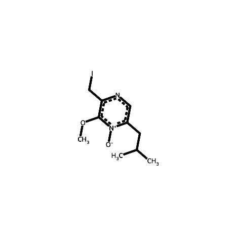 COc1c(CI)ncc(CC(C)C)[n+]1[O-]